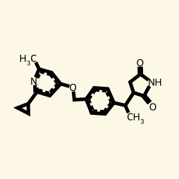 Cc1cc(OCc2ccc(C(C)C3CC(=O)NC3=O)cc2)cc(C2CC2)n1